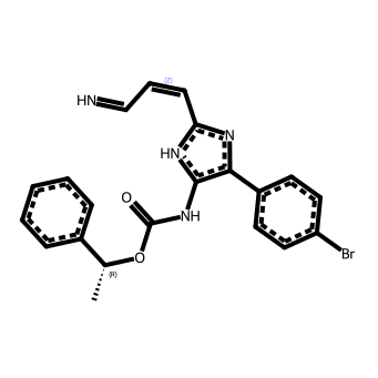 C[C@@H](OC(=O)Nc1[nH]c(/C=C\C=N)nc1-c1ccc(Br)cc1)c1ccccc1